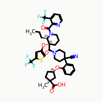 CCC[C@H]1N(C(=O)c2ncccc2C(F)(F)F)CCC[C@@]1(Oc1csc(C(F)(F)F)c1)C(=O)N1CCC(C#N)(c2ccccc2O[C@@H]2CC[C@](C)(C(=O)O)C2)CC1